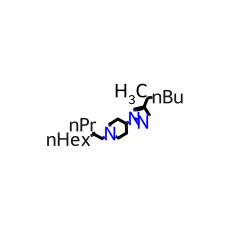 CCCCCCC(CCC)CN1CCC(n2cc(C(C)CCCC)cn2)CC1